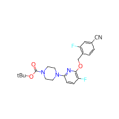 CC(C)(C)OC(=O)N1CCN(c2ccc(F)c(OCc3ccc(C#N)cc3F)n2)CC1